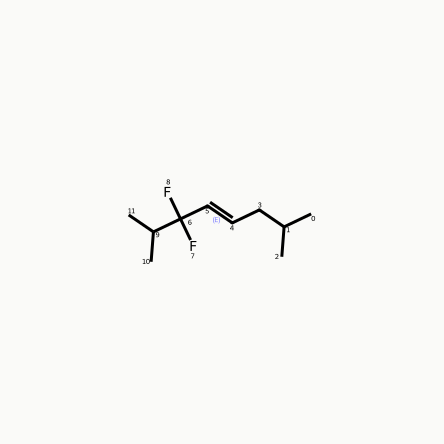 CC(C)C/C=C/C(F)(F)C(C)C